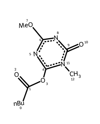 CCCCC(=O)Oc1nc(OC)nc(=O)n1C